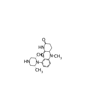 C[C@@H]1CNC[C@H](C)N1c1cccc(N(C)C2CCC(=O)NC2=O)c1